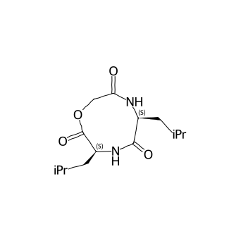 CC(C)C[C@@H]1NC(=O)COC(=O)[C@H](CC(C)C)NC1=O